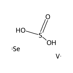 O=S(O)O.[Se].[V]